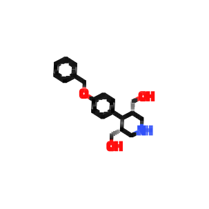 OC[C@@H]1CNC[C@H](CO)C1c1ccc(OCc2ccccc2)cc1